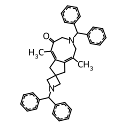 CC1=C2CC3(CC2=C(C)C(=O)CN(C(c2ccccc2)c2ccccc2)C1)CN(C(c1ccccc1)c1ccccc1)C3